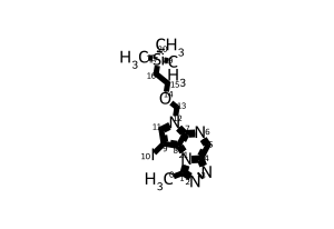 Cc1nnc2cnc3c(c(I)cn3COCC[Si](C)(C)C)n12